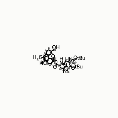 CN1CC[C@]23c4c5ccc(CO)c4O[C@H]2C(OC(=O)[C@H](Cc2cn(C(=O)OC(C)(C)C)cn2)NC(=O)CCNC(=O)OC(C)(C)C)=CC[C@@]3(O)[C@H]1C5